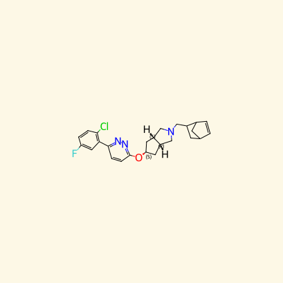 Fc1ccc(Cl)c(-c2ccc(O[C@H]3C[C@@H]4CN(CC5CC6C=CC5C6)C[C@@H]4C3)nn2)c1